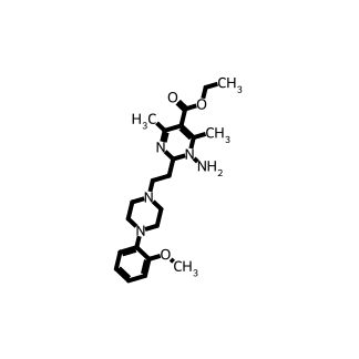 CCOC(=O)C1=C(C)N(N)C(CCN2CCN(c3ccccc3OC)CC2)N=C1C